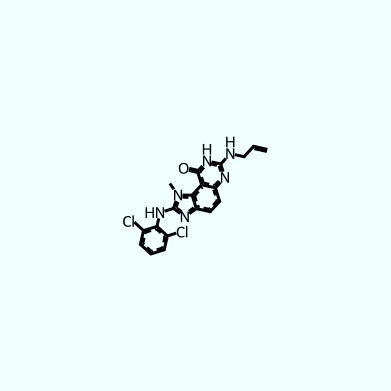 C=CCNc1nc2ccc3nc(Nc4c(Cl)cccc4Cl)n(C)c3c2c(=O)[nH]1